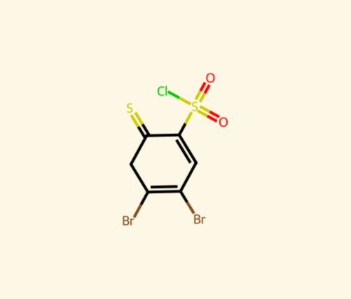 O=S(=O)(Cl)C1=CC(Br)=C(Br)CC1=S